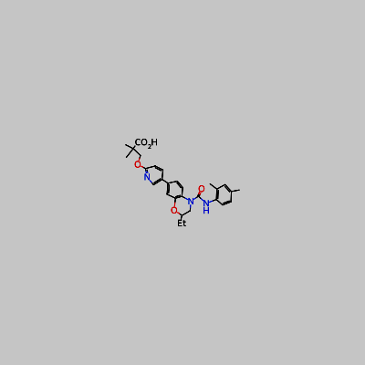 CCC1CN(C(=O)Nc2ccc(C)cc2C)c2ccc(-c3ccc(OCC(C)(C)C(=O)O)nc3)cc2O1